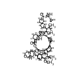 CCn1c(-c2cc(N3CCN4CCOC[C@@H]4C3)cnc2[C@H](C)OC)c2c3cc(ccc31)-c1csc(n1)C[C@H](NC(=O)[C@H](C(C)C)N1CC[C@]3(CCN(C(=O)[C@@H]4N[C@@H]4C4CC4)C3)C1)C(=O)N1CCC[C@H](N1)C(=O)OCC(C)(C)C2